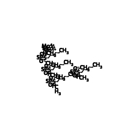 CCCCCC[SH](CC)(CC)=P([O-])([O-])[S-].CCCCCC[SH](CC)(CC)=P([O-])([O-])[S-].CCCCCC[SH](CC)(CC)=P([O-])([O-])[S-].CCCCCC[SH](CC)(CC)=P([O-])([O-])[S-].[Mo+4].[Mo+4].[Mo+4]